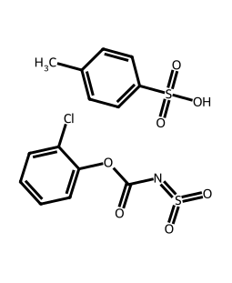 Cc1ccc(S(=O)(=O)O)cc1.O=C(N=S(=O)=O)Oc1ccccc1Cl